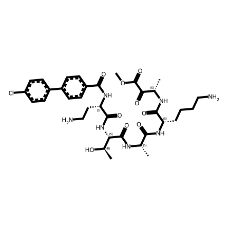 COC(=O)C(=O)[C@H](C)NC(=O)[C@H](CCCCN)NC(=O)[C@H](C)NC(=O)[C@@H](NC(=O)[C@H](CCN)NC(=O)c1ccc(-c2ccc(Cl)cc2)cc1)[C@@H](C)O